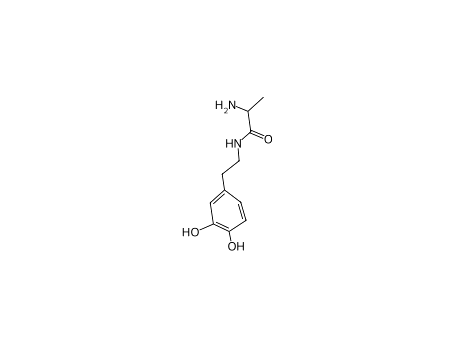 CC(N)C(=O)NCCc1ccc(O)c(O)c1